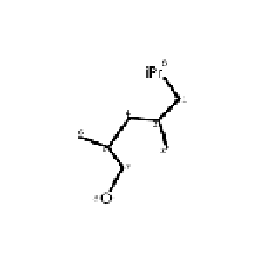 CC(C)CC(C)CC(C)C[O]